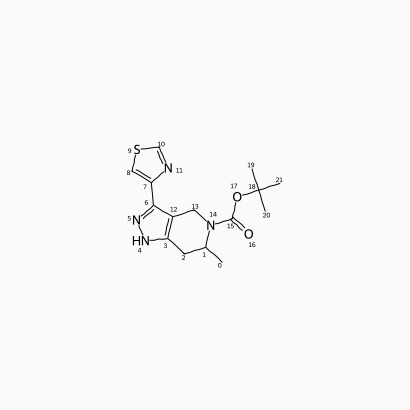 CC1Cc2[nH]nc(-c3cscn3)c2CN1C(=O)OC(C)(C)C